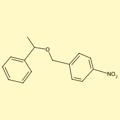 CC(OCc1ccc([N+](=O)[O-])cc1)c1ccccc1